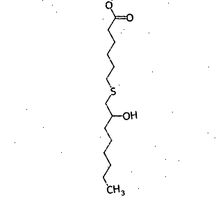 CCCCCCC(O)CSCCCCCC(=O)OC